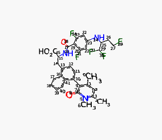 Cc1cc(C)n(C)c(=O)c1-c1ccc(CC(NC(=O)c2c(F)cc(NC(CCF)C(F)F)cc2F)C(=O)O)c2ccccc12